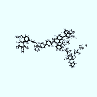 COc1ccc(C#CCNC2(C)CCN(C3CCN(c4nc(C(COCNC(=O)CNC(=O)C(Cc5ccccc5)NC(=O)CNC(=O)CNC(=O)O)(OC5CC5)c5ccccc5)c5cc(-c6cn(C)c(=O)c7[nH]ccc67)ccc5n4)CC3)CC2)cc1N1CCC(=O)NC1=O